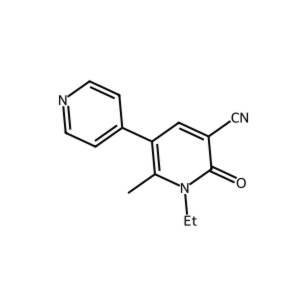 CCn1c(C)c(-c2ccncc2)cc(C#N)c1=O